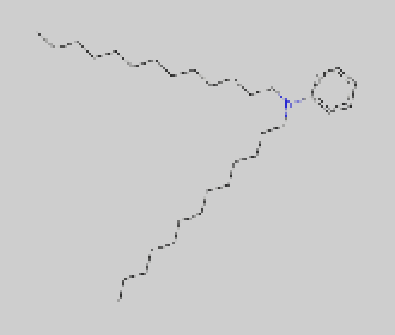 CCCCCCCCCCCCCN(CCCCCCCCCCCCC)c1ccccc1